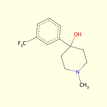 CN1CCC(O)(c2cccc(C(F)(F)F)c2)CC1